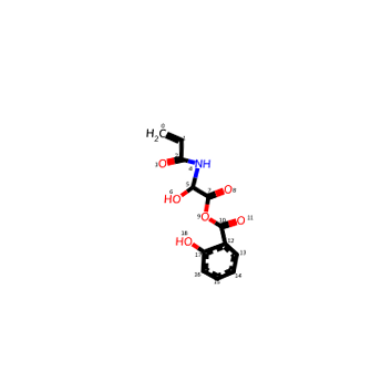 C=CC(=O)NC(O)C(=O)OC(=O)c1ccccc1O